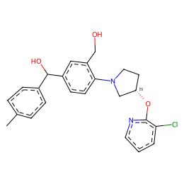 Cc1ccc(C(O)c2ccc(N3CC[C@H](Oc4ncccc4Cl)C3)c(CO)c2)cc1